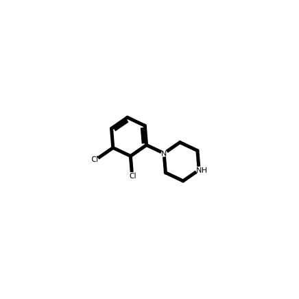 ClC1C=CC=C(N2CCNCC2)C1Cl